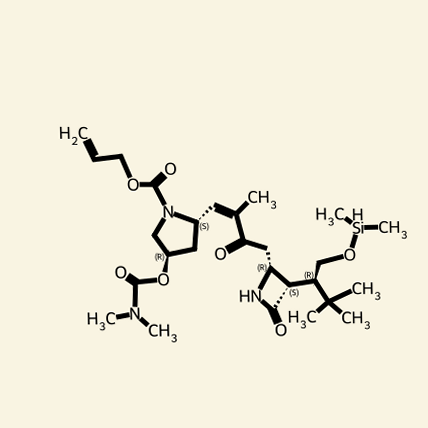 C=CCOC(=O)N1C[C@H](OC(=O)N(C)C)C[C@H]1C=C(C)C(=O)C[C@H]1NC(=O)[C@H]1[C@@H](CO[SiH](C)C)C(C)(C)C